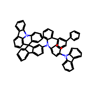 c1ccc(-c2cccc(-c3ccccc3N(c3ccc(-n4c5ccccc5c5ccccc54)cc3)c3ccc4c(c3)C3(c5ccccc5-4)c4ccccc4-n4c5ccccc5c5cccc3c54)c2)cc1